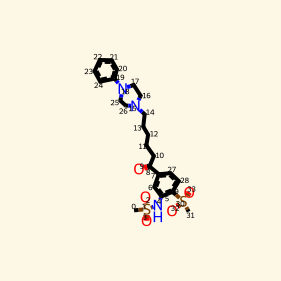 CS(=O)(=O)Nc1cc(C(=O)CCCCCN2CCN(c3ccccc3)CC2)ccc1S(C)(=O)=O